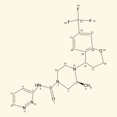 C[C@H]1CN(C(=O)Nc2cccnn2)CCN1C1CCOc2cc(C(F)(F)F)ccc21